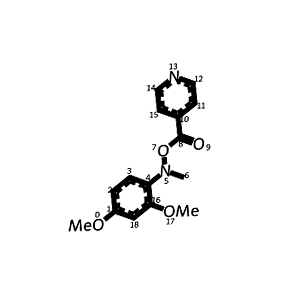 COc1ccc(N(C)OC(=O)c2ccncc2)c(OC)c1